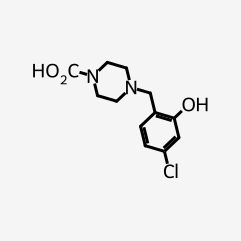 O=C(O)N1CCN(Cc2ccc(Cl)cc2O)CC1